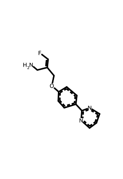 NC/C(=C\F)COc1ccc(-c2ncccn2)cc1